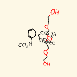 CCCCCCCCCCCC(=O)O.O=C(O)c1ccccc1.OCCOCCOCCOCCO